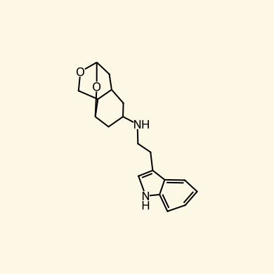 c1ccc2c(CCNC3CC4CC5OCC4C(C3)O5)c[nH]c2c1